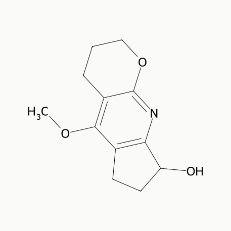 COc1c2c(nc3c1CCC3O)OCCC2